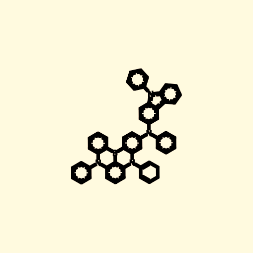 C1=CC(N2c3cc(N(c4ccccc4)c4ccc5c(c4)c4ccccc4n5-c4ccccc4)ccc3B3c4ccccc4N(c4ccccc4)c4cccc2c43)=CCC1